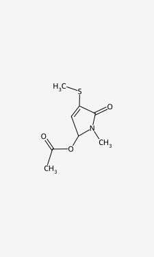 CSC1=CC(OC(C)=O)N(C)C1=O